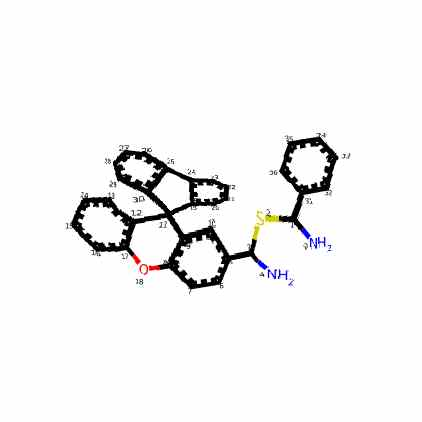 NC(SC(N)c1ccc2c(c1)C1(c3ccccc3O2)c2ccccc2-c2ccccc21)c1ccccc1